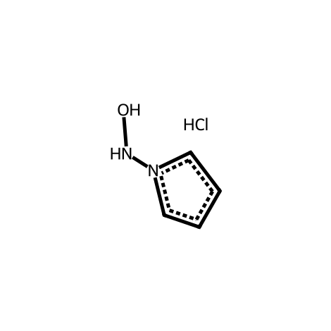 Cl.ONn1cccc1